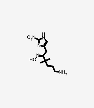 CC(C)(CCCN)C(Cc1c[nH]c([N+](=O)[O-])n1)=NO